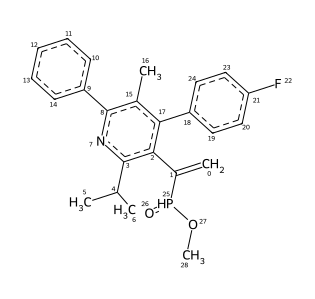 C=C(c1c(C(C)C)nc(-c2ccccc2)c(C)c1-c1ccc(F)cc1)[PH](=O)OC